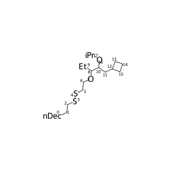 CCCCCCCCCCCCSSCCOC(CC)C(CC1CCC1)OC(C)C